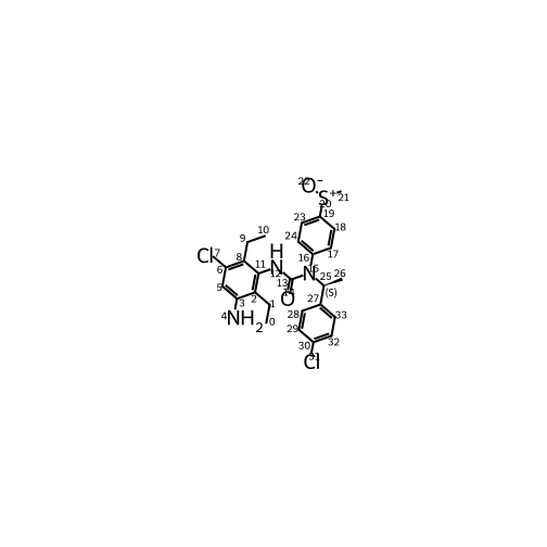 CCc1c(N)cc(Cl)c(CC)c1NC(=O)N(c1ccc([S+](C)[O-])cc1)[C@@H](C)c1ccc(Cl)cc1